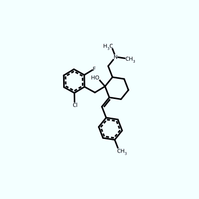 Cc1ccc(C=C2CCCC(CN(C)C)C2(O)Cc2c(F)cccc2Cl)cc1